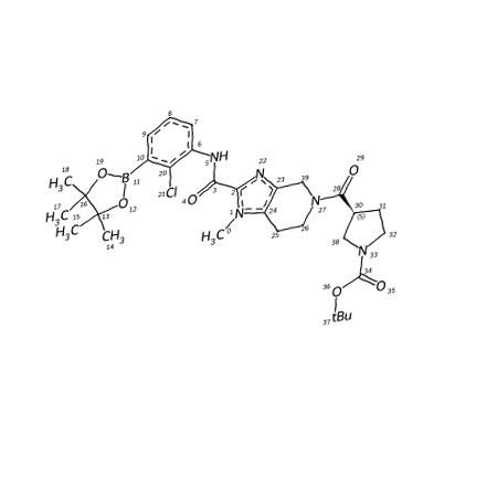 Cn1c(C(=O)Nc2cccc(B3OC(C)(C)C(C)(C)O3)c2Cl)nc2c1CCN(C(=O)[C@H]1CCN(C(=O)OC(C)(C)C)C1)C2